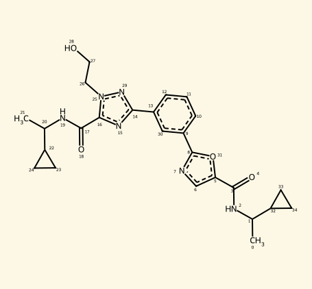 CC(NC(=O)c1cnc(-c2cccc(-c3nc(C(=O)NC(C)C4CC4)n(CCO)n3)c2)o1)C1CC1